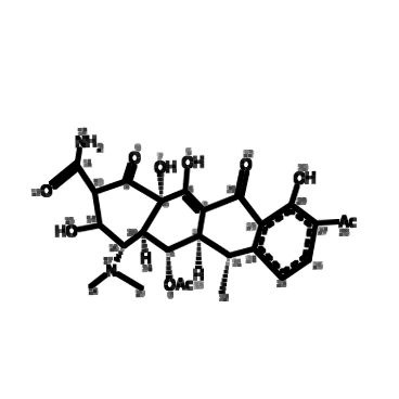 CC(=O)O[C@H]1[C@H]2C(=C(O)[C@]3(O)C(=O)C(C(N)=O)C(O)[C@@H](N(C)C)[C@H]13)C(=O)c1c(ccc(C(C)=O)c1O)[C@@H]2C